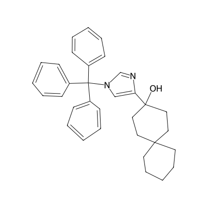 OC1(c2cn(C(c3ccccc3)(c3ccccc3)c3ccccc3)cn2)CCC2(CCCCC2)CC1